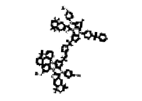 Cc1cc2c3c(c1)N(c1ccc(C(C)(C)C)cc1)c1c(sc4cc5c(cc14)C(C)(C)CCC5(C)C)B3c1cc(C(C)(C)c3cccc(CC(C)(C)c4cc5c6c(c4)N(c4ccc(C(C)(C)C)cc4)c4c(sc7cc8c(cc47)C(C)(C)CCC8(C)C)B6c4cc(C(C)(C)C)ccc4N5c4cccc5c4-c4ccccc4C5(C)C)c3)ccc1N2c1ccc(C(C)(C)c2ccccc2)cc1